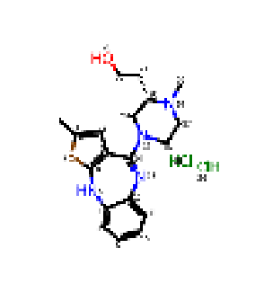 Cc1cc2c(s1)Nc1ccccc1N=C2N1CCN(C)[C@@H](CCO)C1.Cl.Cl